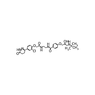 CC(C)(C)NC[C@@H](O)COc1ccc(C(=O)NCCNC(=O)COc2ccc(C3=NNC(=O)CC3)cc2Cl)cc1